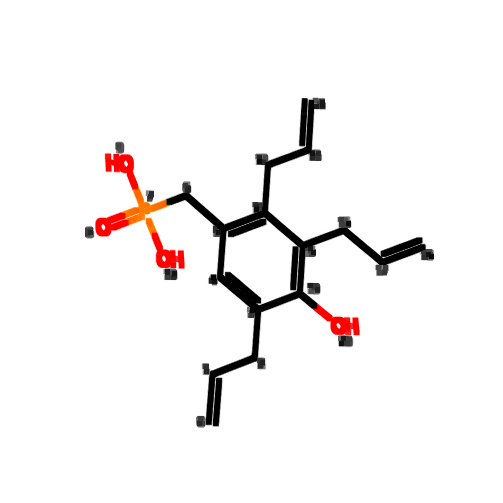 C=CCc1cc(CP(=O)(O)O)c(CC=C)c(CC=C)c1O